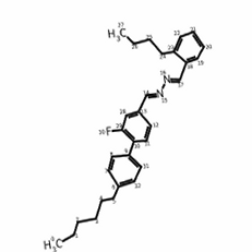 CCCCCCc1ccc(-c2ccc(C=NN=Cc3ccccc3CCCC)cc2F)cc1